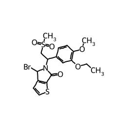 CCOc1cc(C(CS(C)(=O)=O)N2C(=O)c3sccc3C2Br)ccc1OC